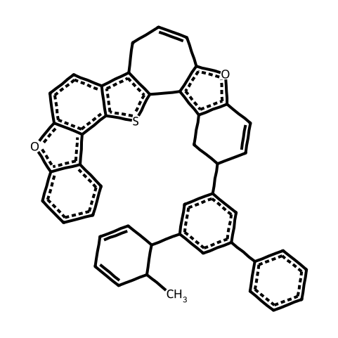 CC1C=CC=CC1c1cc(-c2ccccc2)cc(C2C=Cc3oc4c(c3C2)-c2sc3c(ccc5oc6ccccc6c53)c2CC=C4)c1